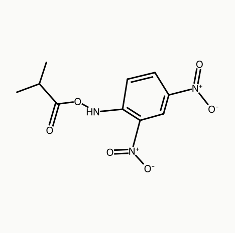 CC(C)C(=O)ONc1ccc([N+](=O)[O-])cc1[N+](=O)[O-]